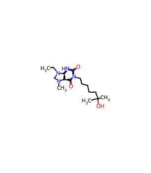 CCN1CN(C)c2c1[nH]c(=O)n(CCCCCC(C)(C)O)c2=O